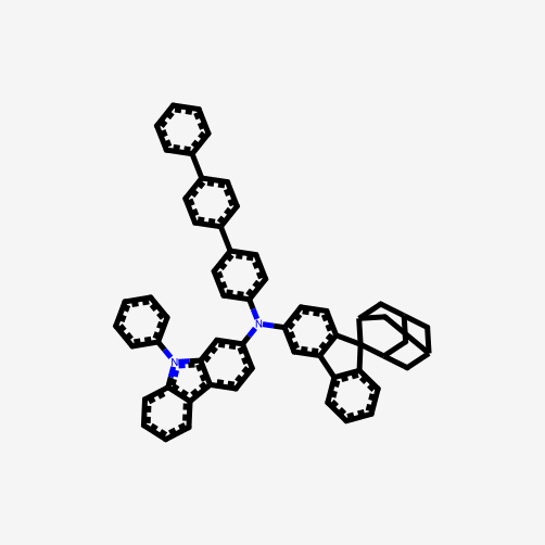 c1ccc(-c2ccc(-c3ccc(N(c4ccc5c(c4)-c4ccccc4C54C5CC6CC(C5)CC4C6)c4ccc5c6ccccc6n(-c6ccccc6)c5c4)cc3)cc2)cc1